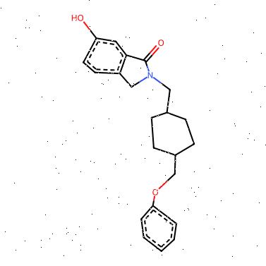 O=C1c2cc(O)ccc2CN1CC1CCC(COc2ccccc2)CC1